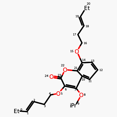 CCC=CCCOc1c(OC(C)C)c2cccc(OCCC=CCC)c2oc1=O